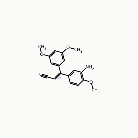 COc1cc(OC)cc(/C(=C\C#N)c2ccc(OC)c(N)c2)c1